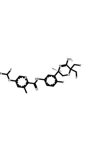 Cc1cc(OC(F)F)cnc1C(=O)Nc1ccc(F)c([C@]2(C)COC(CF)(CF)C(N)=N2)c1